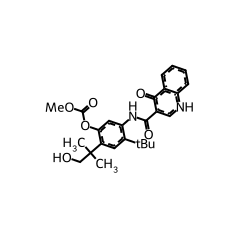 COC(=O)Oc1cc(NC(=O)c2c[nH]c3ccccc3c2=O)c(C(C)(C)C)cc1C(C)(C)CO